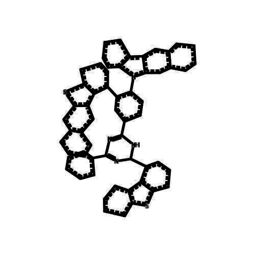 c1ccc(C2=NC(c3cccc4sc5ccccc5c34)NC(c3ccc(-n4c5ccccc5c5cc6ccccc6cc54)c(-c4cccc5sc6cc7ccccc7cc6c45)c3)=N2)cc1